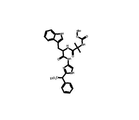 CCOC(=O)C(c1ccccc1)c1nc(NC(=O)C(Cc2c[nH]c3ccccc23)NC(=O)C(C)(C)NC(=O)OC(C)(C)C)c[nH]1